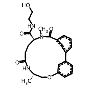 C[C@H]1COc2cccc(c2)-c2cccc(c2)C(=O)N(C)[C@H](C(=O)NCCO)CCC(=O)N1